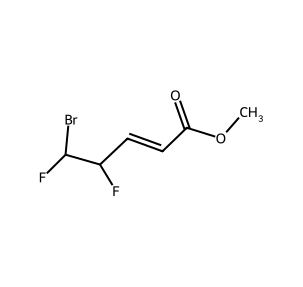 COC(=O)C=CC(F)C(F)Br